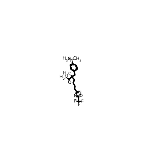 CN(C)c1ccc(CC(C)(CCCCc2noc(C(F)(F)F)n2)C(N)=O)cc1